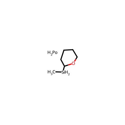 C[SiH2]C1CCCCO1.[PoH2]